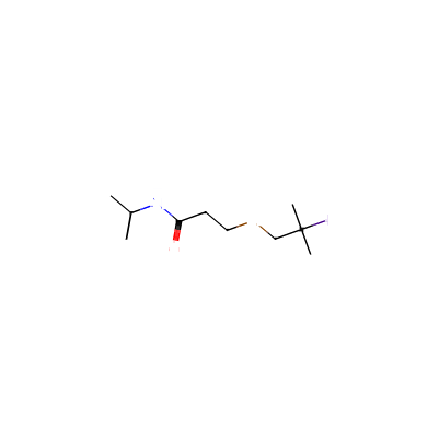 CC(C)NC(=O)CCSCC(C)(C)I